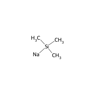 C[Si](C)(C)[Na]